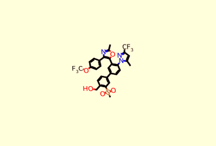 Cc1nc(-c2ccc(OC(F)(F)F)cc2)c(-c2cc(-c3ccc(CO)c(S(C)(=O)=O)c3)ccc2-n2nc(C(F)(F)F)cc2C)o1